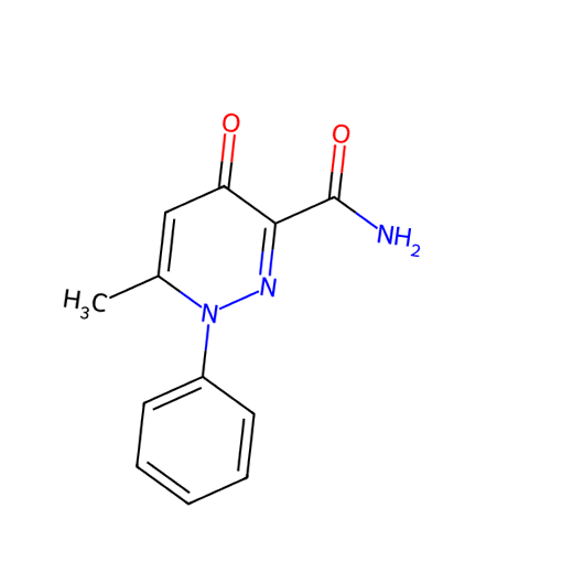 Cc1cc(=O)c(C(N)=O)nn1-c1ccccc1